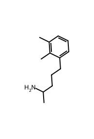 Cc1cccc(CCCC(C)N)c1C